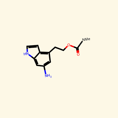 CNC(=O)OCCc1cc(N)cc2[nH]ccc12